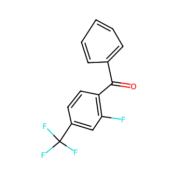 O=C(c1ccccc1)c1ccc(C(F)(F)F)cc1F